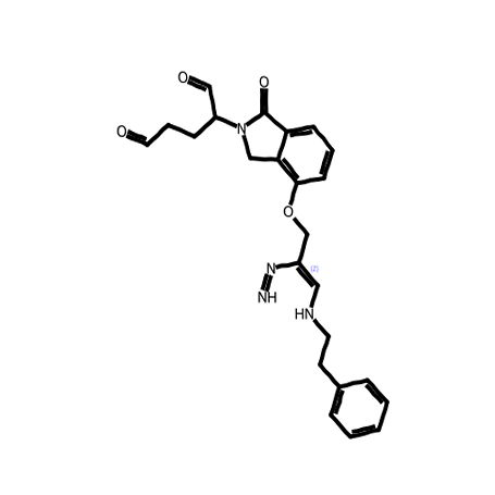 N=N/C(=C\NCCc1ccccc1)COc1cccc2c1CN(C(C=O)CCC=O)C2=O